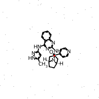 Cc1cc(Nc2nc(N[C@@H]3C[C@H]4CC[C@@H](C3)N4C(=O)c3ccncc3)nc3ccccc23)n[nH]1